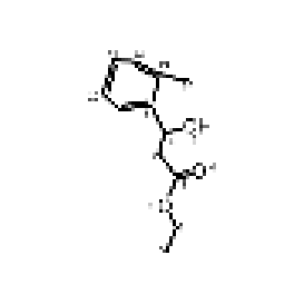 CCOC(=O)CC(O)c1ccccc1C